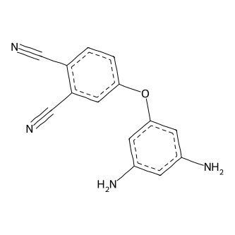 N#Cc1ccc(Oc2cc(N)cc(N)c2)cc1C#N